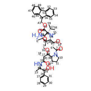 CC[C@H](C)[C@@H]([C@@H](CC(=O)N1CCC[C@H]1[C@H](OC)[C@@H](C)C(=O)N[C@H](C)[C@@H](O)c1ccccc1)OC)N(C)[C@@](C(N)=O)(C(=O)OCC1c2ccccc2-c2ccccc21)C(C)C